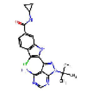 CC(C)(C)n1nc(-c2[nH]c3cc(C(=O)NC4CC4)ccc3c2Cl)c2c(N)ncnc21